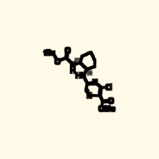 COC(=O)c1ncc(N[C@@H]2CCCC[C@@H]2NC(=O)OC(C)(C)C)nc1Cl